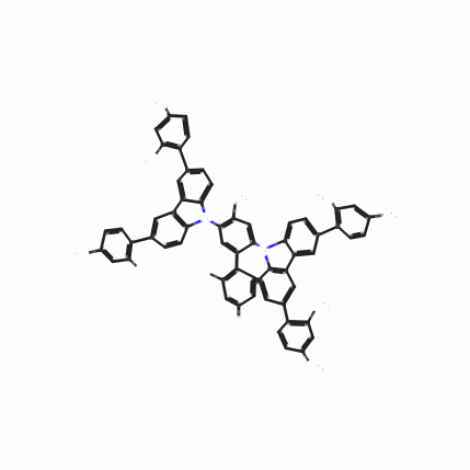 N#Cc1ccc(-c2ccc3c(c2)c2cc(-c4ccc(C#N)cc4C#N)ccc2n3-c2cc(-c3ccc(C(F)(F)F)cc3C(F)(F)F)c(-n3c4ccc(-c5ccc(C#N)cc5C#N)cc4c4cc(-c5ccc(C#N)cc5C#N)ccc43)cc2C#N)c(C#N)c1